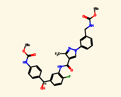 CC(C)(C)OC(=O)NCc1cccc(-n2cc(C(=O)Nc3cc([C@@H](O)c4ccc(NC(=O)OC(C)(C)C)cc4)ccc3F)c(C(F)(F)F)n2)c1